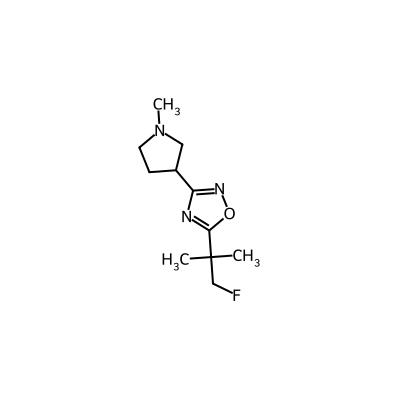 CN1CCC(c2noc(C(C)(C)CF)n2)C1